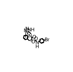 O=C(Nc1ccc(Br)cc1)O[C@@H](Cc1ccccc1)C(=O)NCc1nnn[nH]1